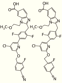 COCCn1c(Cc2cc(F)c(-c3cc(Cl)cc(OCc4ccc(C#N)cc4F)n3)cc2F)nc2ccc(C(=O)O)cc21.COCCn1c(Cc2cc(F)c(-c3cc(Cl)cc(OCc4ccc(C#N)cc4F)n3)cc2F)nc2ccc(C(=O)O)cc21